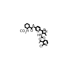 Cc1noc(-c2ccc(N(C)C(=O)C3CCCCC3C(=O)O)cn2)c1NC(=O)O[C@H](C)c1cccnc1Cl